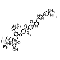 Cc1ncsc1-c1ccc(CNC(=O)[C@@H]2C[C@@H](O)CN2C(=O)[C@@H](NC(=O)C2(F)CC2)C(C)(C)C)c(OC2CCN(C(=O)C3(C)CCN(c4nccc(Sc5cnc(N6CCC(C)(CN)CC6)cn5)c4Cl)CC3)CC2)c1